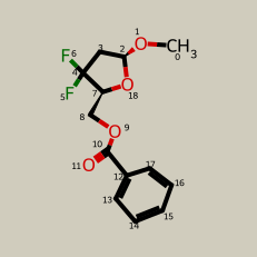 CO[C@@H]1CC(F)(F)[C@H](COC(=O)c2ccccc2)O1